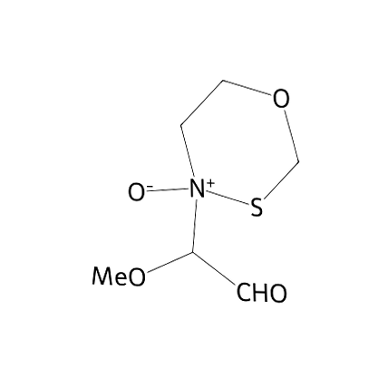 COC(C=O)[N+]1([O-])CCOCS1